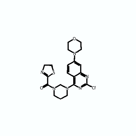 O=C(C1=NCCS1)N1CCCN(c2nc(Cl)nc3cc(N4CCOCC4)ccc23)C1